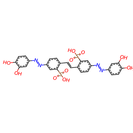 O=S(=O)(O)c1cc(N=Nc2ccc(O)c(O)c2)ccc1C=Cc1ccc(N=Nc2ccc(O)c(O)c2)cc1S(=O)(=O)O